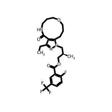 CCc1nn(C[C@@H](C)COC(=O)c2cc(C(F)(F)F)ccc2F)c2c1C(=O)NCCCOCCC2